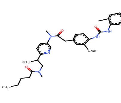 COc1cc(CC(=O)N(C)c2ccc(C(CN(C)C(=O)CCCC(=O)O)C(=O)O)nc2)ccc1NC(=O)Nc1ccccc1C